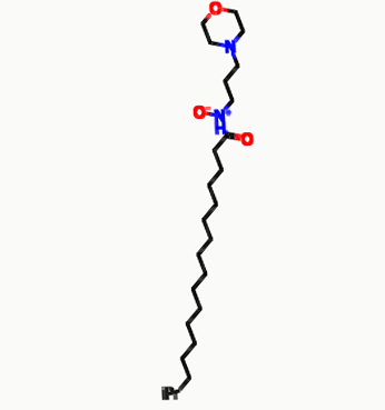 CC(C)CCCCCCCCCCCCCCC(=O)[NH+]([O-])CCCN1CCOCC1